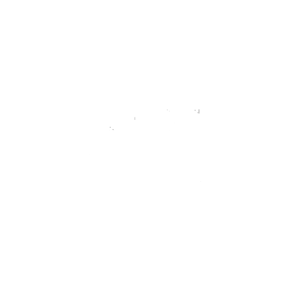 CCCC1Cc2c([nH]c3ccc(C(=O)NC4CCCCC4)cc23)C(N)C1